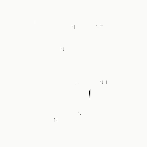 Cc1ccc(NC(=O)[C@H]2CCCN2c2ccccn2)cc1-c1ncc(F)cn1